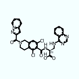 O=C(N[C@@H](CNc1ncnc2ccccc12)C(=O)O)c1c(Cl)cc2c(c1Cl)CCN(C(=O)c1cc3ccccn3n1)C2